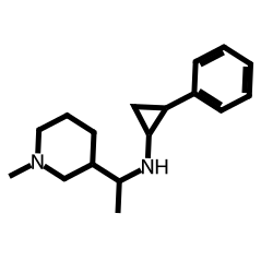 CC(NC1CC1c1ccccc1)C1CCCN(C)C1